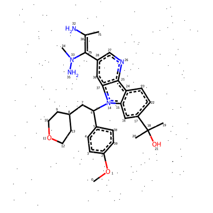 COc1ccc(C(CC2CCOCC2)n2c3cc(C(C)(C)O)ccc3c3ncc(/C(=C(\C)N)N(C)N)cc32)cc1